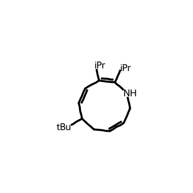 CC(C)/C1=C(\C(C)C)NC/C=C\CC(C(C)(C)C)C=C1